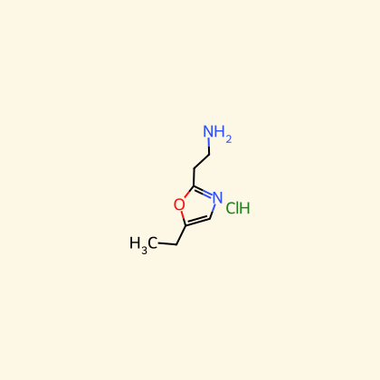 CCc1cnc(CCN)o1.Cl